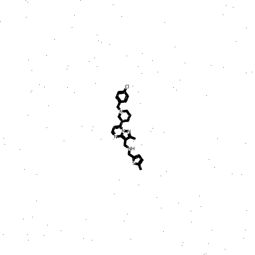 Cc1ccc(CNCc2c(C)nn3c(C4CCCN(Cc5ccc(Cl)cc5)C4)ccnc23)s1